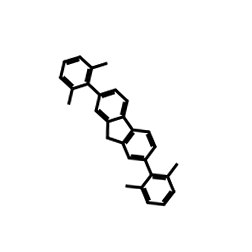 Cc1cccc(C)c1-c1ccc2c(c1)Cc1cc(-c3c(C)cccc3C)ccc1-2